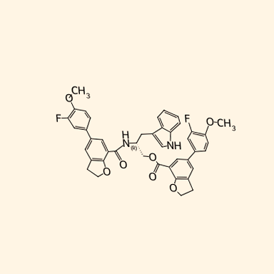 COc1ccc(-c2cc3c(c(C(=O)N[C@@H](COC(=O)c4cc(-c5ccc(OC)c(F)c5)cc5c4OCC5)Cc4c[nH]c5ccccc45)c2)OCC3)cc1F